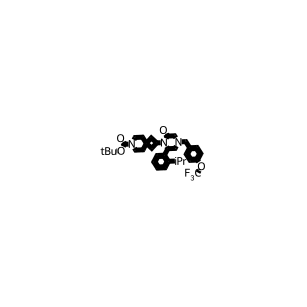 CC(C)c1ccccc1C1CN(Cc2ccc(OC(F)(F)F)cc2)CC(=O)N1C1CC2(CCN(C(=O)OC(C)(C)C)CC2)C1